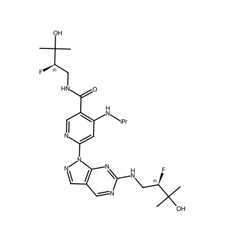 CC(C)Nc1cc(-n2ncc3cnc(NC[C@@H](F)C(C)(C)O)nc32)ncc1C(=O)NC[C@@H](F)C(C)(C)O